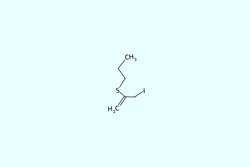 C=C(CI)SCCC